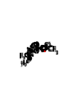 Cc1ccc(C(=O)N2CCCC[C@H]2c2cc3nc(N4CC[C@H](C)C4)c(C)cn3n2)cc1Cl